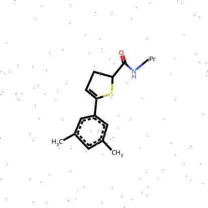 Cc1cc(C)cc(C2=CCC(C(=O)NC(C)C)S2)c1